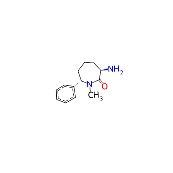 CN1C(=O)[C@H](N)CCC[C@H]1c1ccccc1